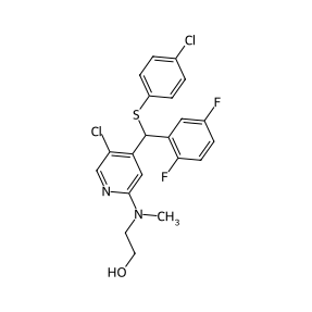 CN(CCO)c1cc(C(Sc2ccc(Cl)cc2)c2cc(F)ccc2F)c(Cl)cn1